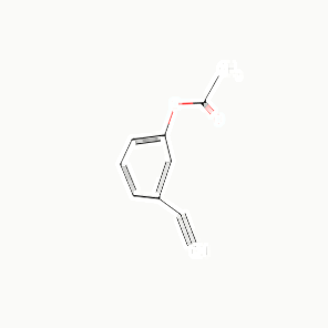 C#Cc1cccc(OC(C)=O)c1